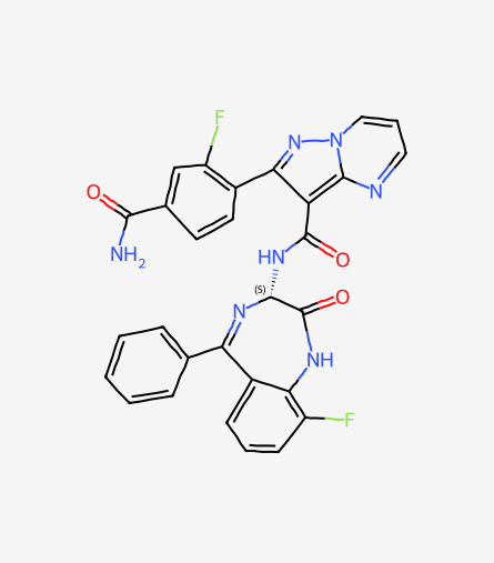 NC(=O)c1ccc(-c2nn3cccnc3c2C(=O)N[C@H]2N=C(c3ccccc3)c3cccc(F)c3NC2=O)c(F)c1